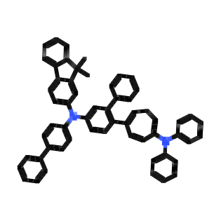 CC1(C)c2ccccc2-c2ccc(N(c3ccc(-c4ccccc4)cc3)c3ccc(C4=CCC=C(N(c5ccccc5)c5ccccc5)C=C4)c(-c4ccccc4)c3)cc21